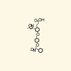 CO/N=C(\COc1ccc(COc2ccc(CCC(=O)O)c(-c3cc(C)on3)c2)cc1)c1ccccc1